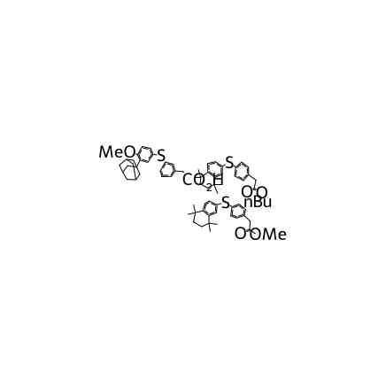 CCCCOC(=O)Cc1ccc(Sc2ccc3c(c2)C(C)(C)CCC3(C)C)cc1.COC(=O)Cc1ccc(Sc2ccc3c(c2)C(C)(C)CCC3(C)C)cc1.COc1ccc(Sc2cccc(CC(=O)O)c2)cc1C12CC3CC(CC(C3)C1)C2